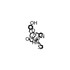 O=C1[C@H](Cc2ccc(O)cc2)CN2C(=O)CCN(C(=O)NCc3cccs3)C2CN1Cc1ccncc1